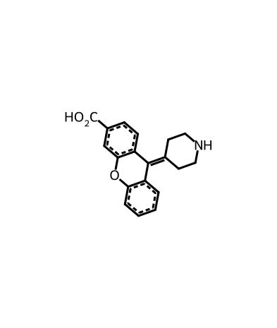 O=C(O)c1ccc2c(c1)Oc1ccccc1C2=C1CCNCC1